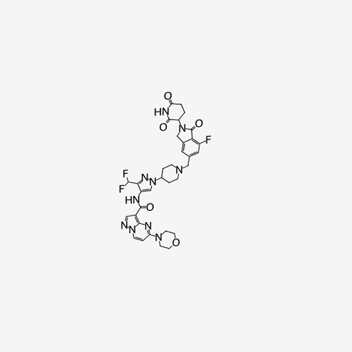 O=C1CCC(N2Cc3cc(CN4CCC(n5cc(NC(=O)c6cnn7ccc(N8CCOCC8)nc67)c(C(F)F)n5)CC4)cc(F)c3C2=O)C(=O)N1